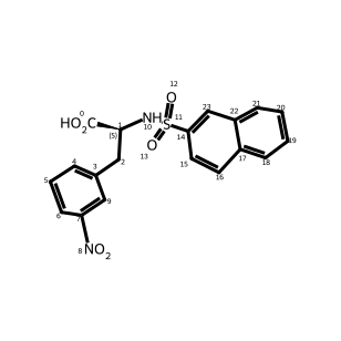 O=C(O)[C@H](Cc1cccc([N+](=O)[O-])c1)NS(=O)(=O)c1ccc2ccccc2c1